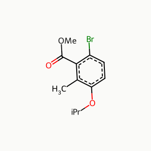 COC(=O)c1c(Br)ccc(OC(C)C)c1C